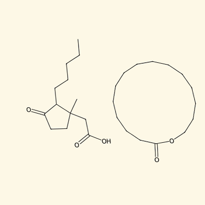 CCCCCC1C(=O)CCC1(C)CC(=O)O.O=C1CCCCCCCCCCCCCCO1